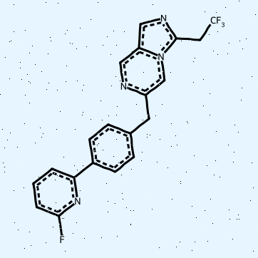 Fc1cccc(-c2ccc(Cc3cn4c(CC(F)(F)F)ncc4cn3)cc2)n1